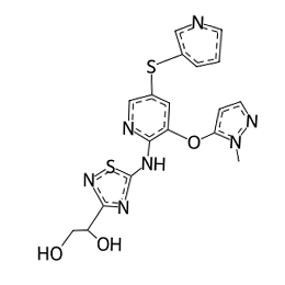 Cn1nccc1Oc1cc(Sc2cccnc2)cnc1Nc1nc(C(O)CO)ns1